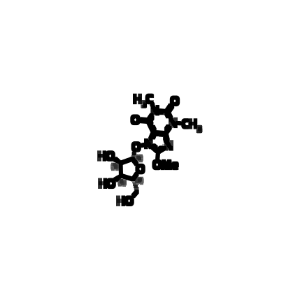 COc1nc2c(c(=O)n(C)c(=O)n2C)n1O[C@@H]1O[C@H](CO)[C@@H](O)[C@H]1O